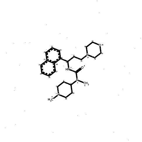 CN1CCC(N(C)C(=O)NC(CCN2CCOCC2)c2cccc3ccccc23)CC1